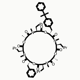 CC(C)C[C@H]1C(=O)O[C@H](Cc2ccc(C(C)(C)c3ccccc3)cc2)C(=O)N(C)[C@@H](CC(C)C)C(=O)O[C@H](C)C(=O)N(C)[C@@H](CC(C)C)C(=O)O[C@H](Cc2ccccc2)C(=O)N(C)[C@@H](CC(C)C)C(=O)O[C@H](C)C(=O)N1C